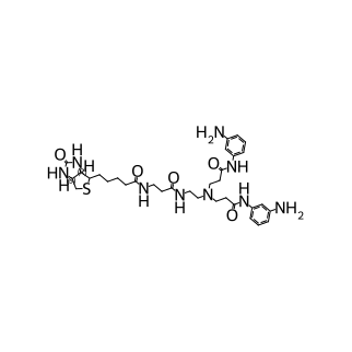 Nc1cccc(NC(=O)CCN(CCNC(=O)CCNC(=O)CCCCC2SC[C@H]3NC(=O)N[C@@H]23)CCC(=O)Nc2cccc(N)c2)c1